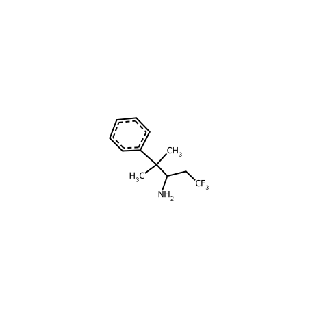 CC(C)(c1ccccc1)C(N)CC(F)(F)F